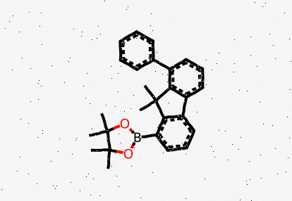 CC1(C)c2c(B3OC(C)(C)C(C)(C)O3)cccc2-c2cccc(-c3ccccc3)c21